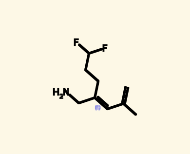 C=C(C)/C=C(/CN)CCC(F)F